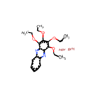 Br.Br.CCOc1c(OCC)c(OCC)c2nc3ccccc3nc2c1OCC